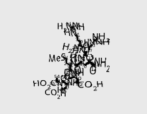 CSCC[C@@H](NC(=O)[C@H](CCC(N)=O)NC(=O)[C@H](CCCNC(=N)N)NC(=O)[C@@H](N)CCCNC(=N)N)C(=O)N[C@@H](CCC(=O)O)C(=O)N[C@@H](CCC(=O)O)C(=O)N[C@@H](C)C(=O)O